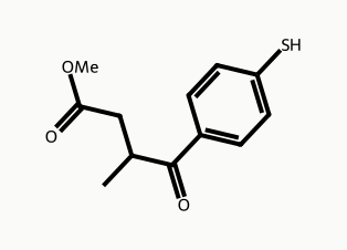 COC(=O)CC(C)C(=O)c1ccc(S)cc1